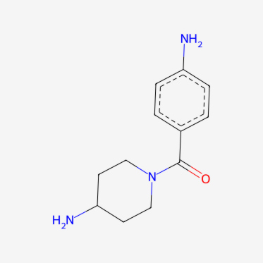 Nc1ccc(C(=O)N2CCC(N)CC2)cc1